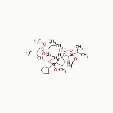 CO[Si](CC(C)C)(CC(C)C)OC.CO[Si](OC)(C(C)C)C(C)C.CO[Si](OC)(C1CCCC1)C1CCCC1